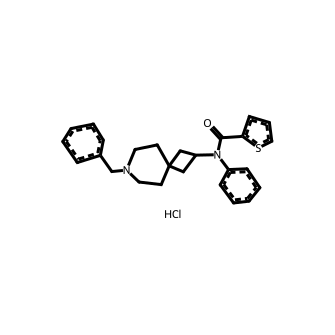 Cl.O=C(c1cccs1)N(c1ccccc1)C1CC2(CCN(Cc3ccccc3)CC2)C1